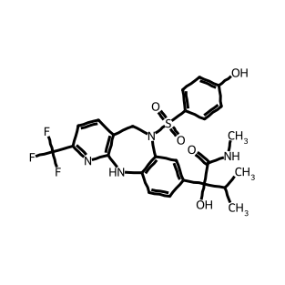 CNC(=O)C(O)(c1ccc2c(c1)N(S(=O)(=O)c1ccc(O)cc1)Cc1ccc(C(F)(F)F)nc1N2)C(C)C